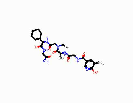 CC(=O)CN(CC(=O)NC(C(=O)NCC(N)=O)C1CCCCC1)C(=O)C(NC(=O)CNC(=O)c1cnc(O)c([N+](=O)[O-])c1)C(C)(C)C